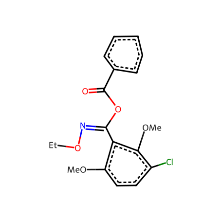 CCON=C(OC(=O)c1ccccc1)c1c(OC)ccc(Cl)c1OC